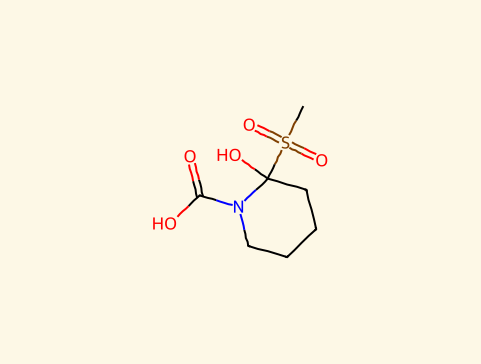 CS(=O)(=O)C1(O)CCCCN1C(=O)O